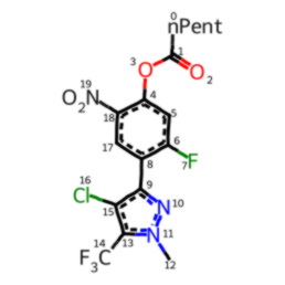 CCCCCC(=O)Oc1cc(F)c(-c2nn(C)c(C(F)(F)F)c2Cl)cc1[N+](=O)[O-]